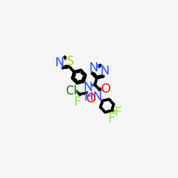 O=C(NC1CCC(F)(F)CC1)C(c1cncnc1)N(C(=O)[C@H](F)Cl)c1ccc(-c2cncs2)cc1